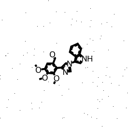 COc1cc(C=O)c(-c2cn(-c3c[nH]c4ccccc34)cn2)c(OC)c1OC